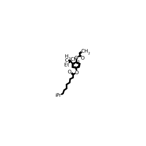 C=CC(=O)Oc1ccc(OC(=O)CCCCCCCC(C)C)cc1C(C)(C)CC